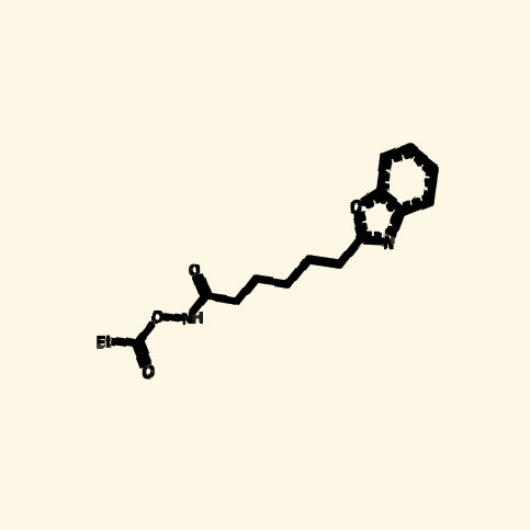 CCC(=O)ONC(=O)CCCCCc1nc2ccccc2o1